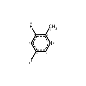 Cc1ncc(I)cc1F